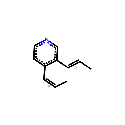 C/C=C\c1ccncc1/C=C/C